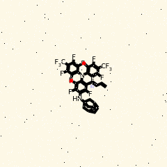 C=C/C=C/c1c(F)c(NC23CC4CC(C2)C(C4)C3)c(F)c(F)c1N(c1c(C)c(F)c(C(F)(F)F)c(F)c1F)c1c(F)c(F)c(C(F)(F)F)c(F)c1F